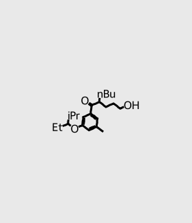 CCCCC(CCCO)C(=O)c1cc(C)cc(OC(CC)C(C)C)c1